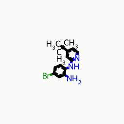 CC(C)(C)c1ccnc(Nc2ccc(Br)cc2N)c1